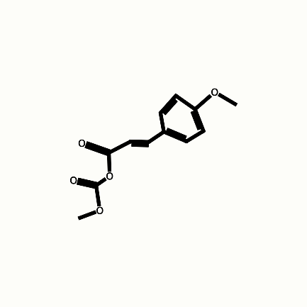 COC(=O)OC(=O)C=Cc1ccc(OC)cc1